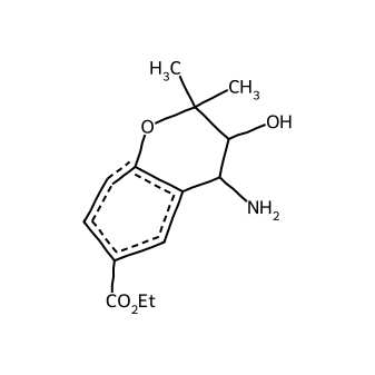 CCOC(=O)c1ccc2c(c1)C(N)C(O)C(C)(C)O2